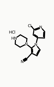 Cl.N#Cc1ccn(-c2ccnc(Cl)c2)c1N1CCNCC1